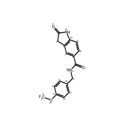 O=C1Cc2cc(C(=O)NCc3ccc(OC(F)(F)F)cc3)ccc2N1